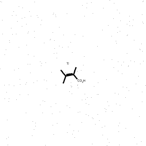 CC(C)=C(C)C(=O)O.[Ti]